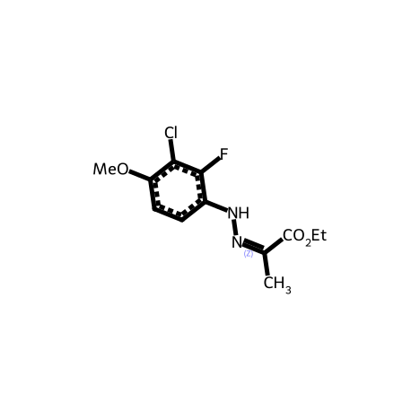 CCOC(=O)/C(C)=N\Nc1ccc(OC)c(Cl)c1F